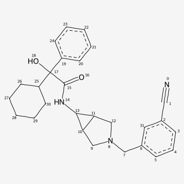 N#Cc1cccc(CN2CC3C(C2)C3NC(=O)C(O)(c2ccccc2)C2CCCCC2)c1